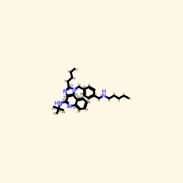 CCCCCNCc1ccc(Cn2c(CCCC)nc3c(NC(C)(C)C)nc4ccccc4c32)cc1